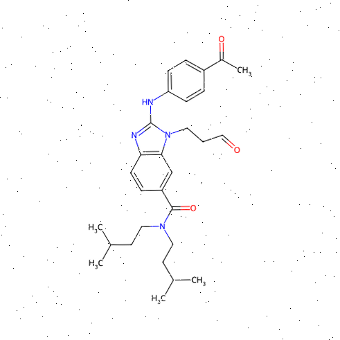 CC(=O)c1ccc(Nc2nc3ccc(C(=O)N(CCC(C)C)CCC(C)C)cc3n2CCC=O)cc1